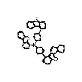 c1ccc2c(c1)ccc1c2oc2cccc(-c3ccc(N(c4ccc(-c5cccc6sc7ccccc7c56)cc4)c4cccc5c4sc4ccccc45)cc3)c21